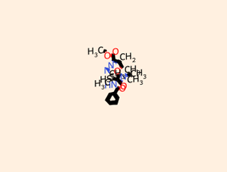 C=C(CO[C@H]1N(C(C)(C)C)C(=O)[C@@]1(NC(=O)c1ccccc1)[SiH](C)C)C(=[N+]=[N-])C(=O)OCC